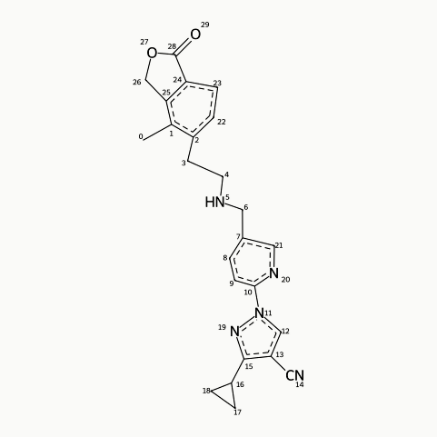 Cc1c(CCNCc2ccc(-n3cc(C#N)c(C4CC4)n3)nc2)ccc2c1COC2=O